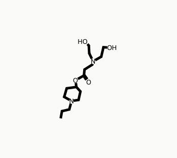 CCCN1CCC(OC(=O)CCN(CCO)CCO)CC1